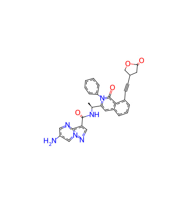 C[C@H](NC(=O)c1cnn2cc(N)cnc12)c1cc2cccc(C#CC3COC(=O)C3)c2c(=O)n1-c1ccccc1